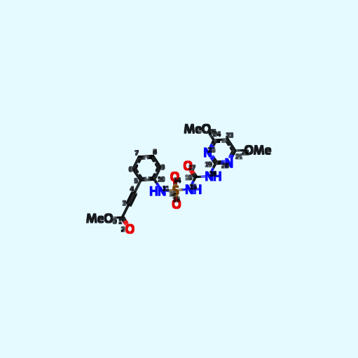 COC(=O)C#Cc1ccccc1NS(=O)(=O)NC(=O)Nc1nc(OC)cc(OC)n1